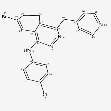 Clc1ccc(Nc2nnc(Cc3ccncc3)c3ccc(Br)cc23)cc1